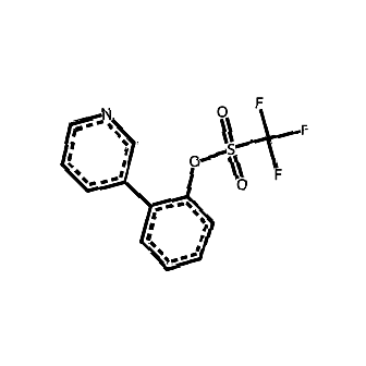 O=S(=O)(Oc1ccccc1-c1[c]nccc1)C(F)(F)F